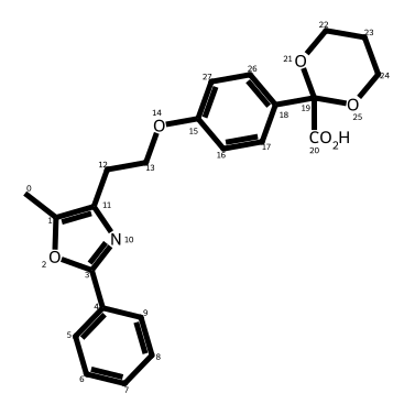 Cc1oc(-c2ccccc2)nc1CCOc1ccc(C2(C(=O)O)OCCCO2)cc1